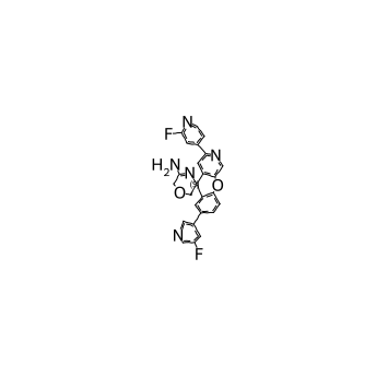 NC1=N[C@@]2(COC1)c1cc(-c3cncc(F)c3)ccc1Oc1cnc(-c3ccnc(F)c3)cc12